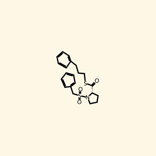 O=C(SCCCc1ccccc1)[C@@H]1CCCN1S(=O)(=O)Cc1ccccc1